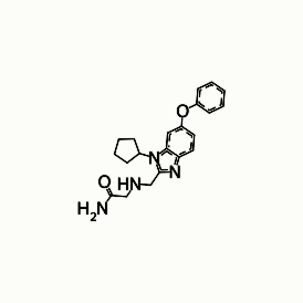 NC(=O)CNCc1nc2ccc(Oc3ccccc3)cc2n1C1CCCC1